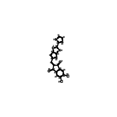 O=C1C(=Cc2cc3oc(-c4nccs4)nc3s2)C(=O)c2cc(Cl)c(Cl)cc21